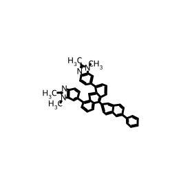 Cc1nc2ccc(-c3cccc4c(-c5ccc6cc(-c7ccccc7)ccc6c5)c5cccc(-c6ccc7nc(C)n(C)c7c6)c5cc34)cc2n1C